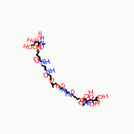 CO[C@H](OCCCCC(=O)NCCCNC(=O)CCOCC(C)COCCC(=O)NCCCNC(=O)CCCCOC1OC(CO)C(O)C(O)[C@H]1NC(C)=O)C(NC(C)=O)C(O)C(O)C(C)CO